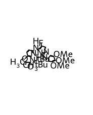 COc1cc(Nc2ncc(F)c(Nc3ccc4c(n3)N([C](C(C)(C)C)C(C)(C)C)C(=O)C(C)(C)O4)n2)cc(OC)c1OC